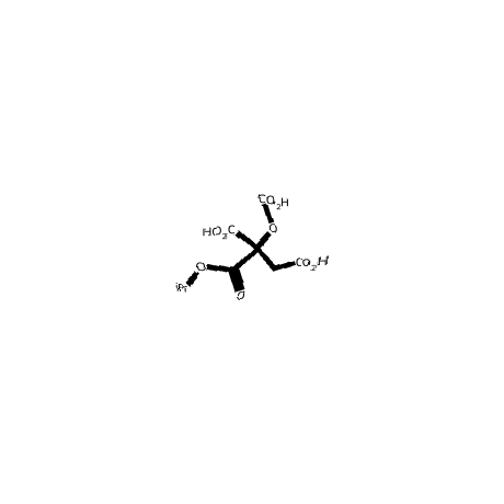 CC(C)OC(=O)C(CC(=O)O)(OC(=O)O)C(=O)O